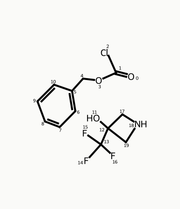 O=C(Cl)OCc1ccccc1.OC1(C(F)(F)F)CNC1